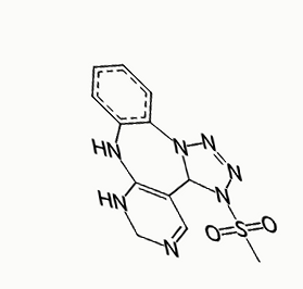 CS(=O)(=O)N1N=NN2c3ccccc3NC3=C(C=NCN3)C21